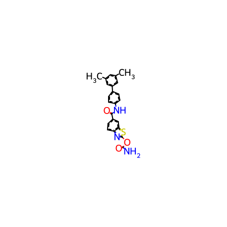 Cc1cc(C)cc(-c2ccc(NC(=O)c3ccc4nc(OC(N)=O)sc4c3)cc2)c1